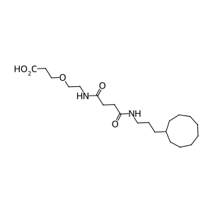 O=C(O)CCOCCNC(=O)CCC(=O)NCCCC1CCCCCCCC1